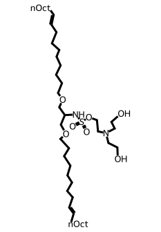 CCCCCCCCC=CCCCCCCCCOCC(COCCCCCCCCC=CCCCCCCCC)NS(=O)(=O)OCCN(CCO)CCO